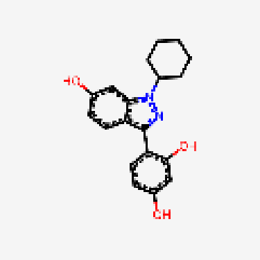 Oc1ccc(-c2nn(C3CCCCC3)c3cc(O)ccc23)c(O)c1